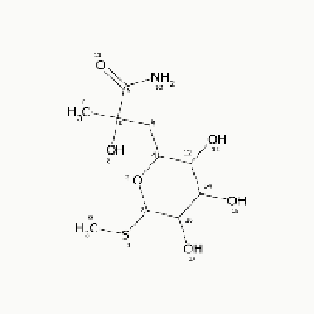 CSC1OC([CH]C(C)(O)C(N)=O)C(O)C(O)C1O